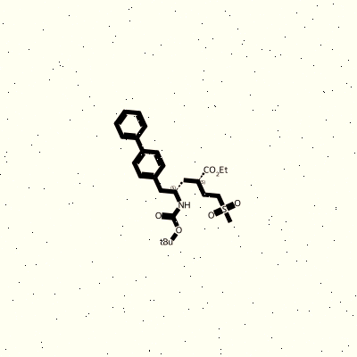 CCOC(=O)[C@H](CCS(C)(=O)=O)C[C@@H](Cc1ccc(-c2ccccc2)cc1)NC(=O)OC(C)(C)C